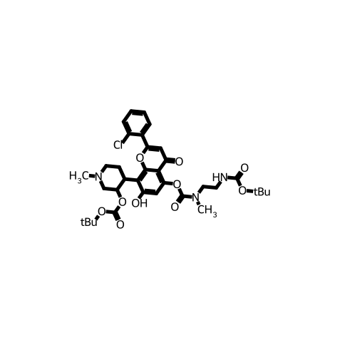 CN1CCC(c2c(O)cc(OC(=O)N(C)CCNC(=O)OC(C)(C)C)c3c(=O)cc(-c4ccccc4Cl)oc23)C(OC(=O)OC(C)(C)C)C1